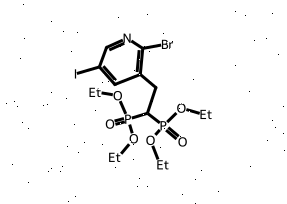 CCOP(=O)(OCC)C(Cc1cc(I)cnc1Br)P(=O)(OCC)OCC